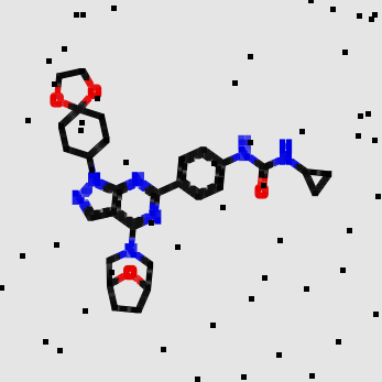 O=C(Nc1ccc(-c2nc(N3CC4CCC(C3)O4)c3cnn(C4CCC5(CC4)OCCO5)c3n2)cc1)NC1CC1